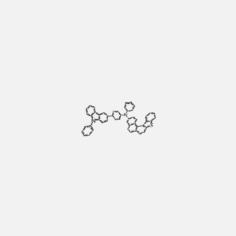 c1ccc(N(c2ccc(-c3ccc4c(c3)c3ccccc3n4-c3ccccc3)cc2)c2ccc3c(ccc4ccc5sc6ccccc6c5c43)c2)cc1